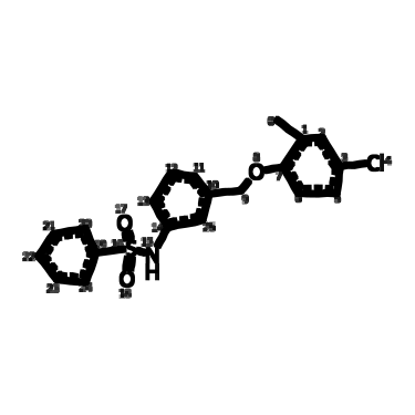 Cc1cc(Cl)ccc1OCc1cccc(NS(=O)(=O)c2ccccc2)c1